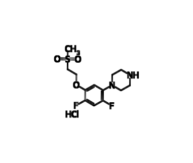 CS(=O)(=O)CCOc1cc(N2CCNCC2)c(F)cc1F.Cl